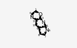 c1coc2nc3nccc3cc2n1